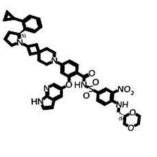 O=C(NS(=O)(=O)c1ccc(NC[C@H]2COCCO2)c([N+](=O)[O-])c1)c1ccc(N2CCC3(CC2)CC(N2CCC[C@H]2c2ccccc2C2CC2)C3)cc1Oc1cnc2[nH]ccc2c1